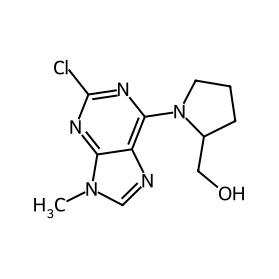 Cn1cnc2c(N3CCCC3CO)nc(Cl)nc21